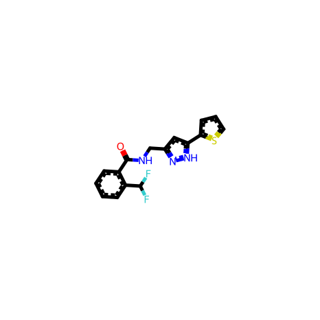 O=C(NCc1cc(-c2cccs2)[nH]n1)c1ccccc1C(F)F